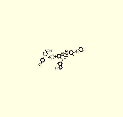 Cc1cc(S(=O)(=O)NC(=O)c2ccc(N3CCN(C[C@H]4CC(C)(O)CC[C@@H]4c4ccc(Cl)cc4)CC3)cc2Oc2cnc3[nH]ccc3c2)ccc1NCC1CCOCC1